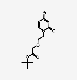 CC(C)(C)OC(=O)COCCn1ccc(Br)cc1=O